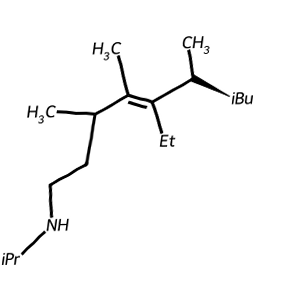 CC/C(=C(/C)C(C)CCNC(C)C)C(C)[C@H](C)CC